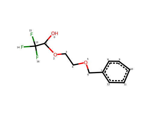 OC(OCCOCc1ccccc1)C(F)(F)F